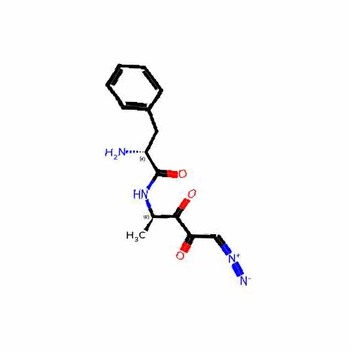 C[C@@H](NC(=O)[C@H](N)Cc1ccccc1)C(=O)C(=O)C=[N+]=[N-]